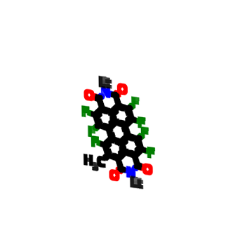 CCN1C(=O)c2c(C)c(F)c3c4c(F)c(F)c5c6c(c(F)c(F)c(c7c(F)c(F)c(c2c37)C1=O)c64)C(=O)N(CC)C5=O